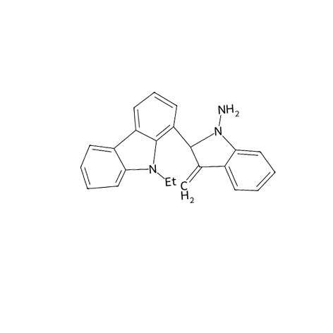 C=C1c2ccccc2N(N)C1c1cccc2c3ccccc3n(CC)c12